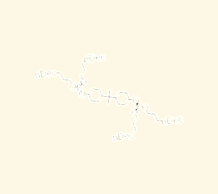 CCCCCCCCCCCCCOP(OCCCCCCCCCCCCC)OC1CCC(C(C)(C)C2CCC(OP(OCCCCCCCCCCCCC)OCCCCCCCCCCCCC)CC2)CC1